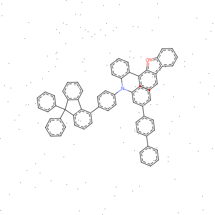 c1ccc(-c2ccc(-c3cccc(N(c4ccc(-c5cccc6c5-c5ccccc5C6(c5ccccc5)c5ccccc5)cc4)c4ccccc4-c4cccc5c4oc4ccccc45)c3)cc2)cc1